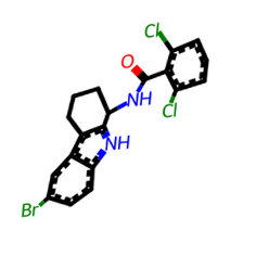 O=C(NC1CCCc2c1[nH]c1ccc(Br)cc21)c1c(Cl)cccc1Cl